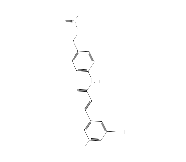 O=C(/C=C/c1cc(O)cc(O)c1)Nc1ccc(CO[N+](=O)[O-])cc1